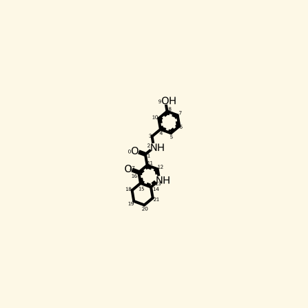 O=C(NCc1cccc(O)c1)c1c[nH]c2c(c1=O)CCCC2